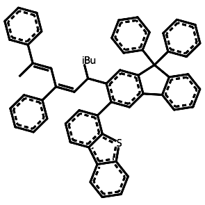 CCC(C)C(/C=C(\C=C(/C)c1ccccc1)c1ccccc1)c1cc2c(cc1-c1cccc3c1sc1ccccc13)-c1ccccc1C2(c1ccccc1)c1ccccc1